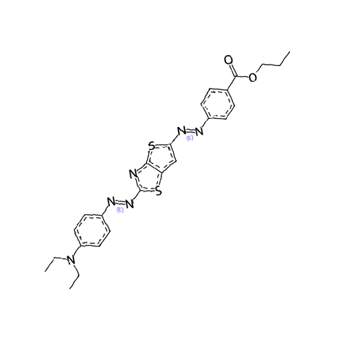 CCCOC(=O)c1ccc(/N=N/c2cc3sc(/N=N/c4ccc(N(CC)CC)cc4)nc3s2)cc1